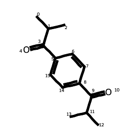 CC(C)C(=O)c1ccc(C(=O)C(C)C)cc1